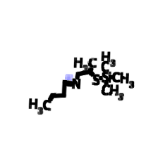 CCC/C=N/CC(C)S[Si](C)(C)C